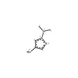 CN(C)n1cc(C(C)(C)C)cn1